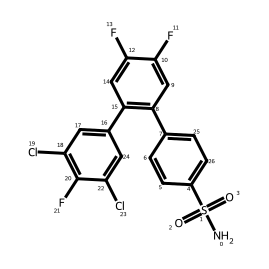 NS(=O)(=O)c1ccc(-c2cc(F)c(F)cc2-c2cc(Cl)c(F)c(Cl)c2)cc1